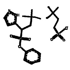 CC(C)(C)CC(c1ccn[nH]1)S(=O)(=O)Oc1ccccc1.CC(C)(C)CCS(=O)(=O)Cl